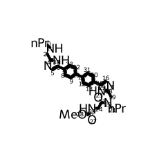 CCCNCc1ncc(-c2ccc(-c3ccc(-c4cnc(CN(CCC)C(=O)CNC(=O)OC)[nH]4)cc3)cc2)[nH]1